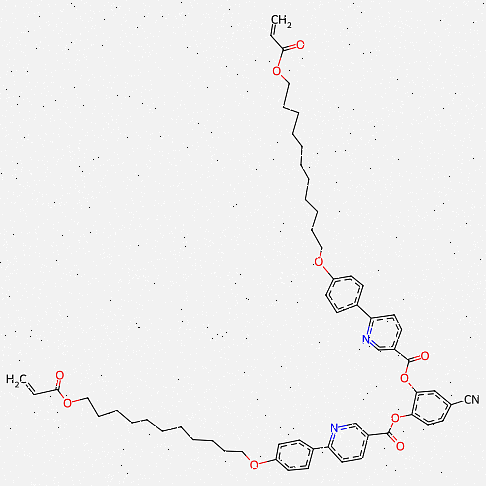 C=CC(=O)OCCCCCCCCCCCOc1ccc(-c2ccc(C(=O)Oc3ccc(C#N)cc3OC(=O)c3ccc(-c4ccc(OCCCCCCCCCCCOC(=O)C=C)cc4)nc3)cn2)cc1